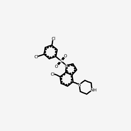 O=S(=O)(c1cc(Cl)cc(Cl)c1)n1ccc2c(N3CCNCC3)ccc(Cl)c21